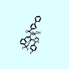 O=C(N/C(=C/c1cccc(C(F)(F)F)c1)C(=O)N1C(c2ccc(F)cc2)SC[C@H]1C(=O)O)c1ccc(-c2ccccc2)cc1